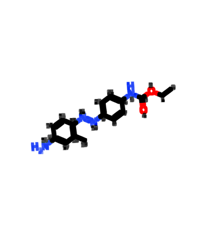 CCOC(=O)Nc1ccc(/N=N/c2ccc(N)cc2C)cc1